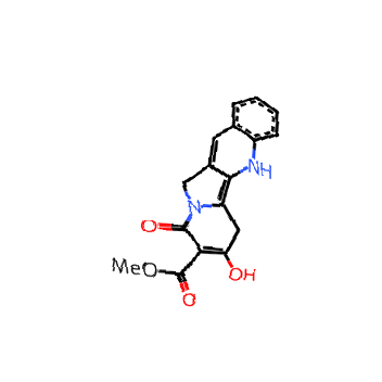 COC(=O)C1=C(O)CC2=C3Nc4ccccc4C=C3CN2C1=O